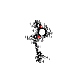 CC[C@H]1OC(=O)[C@H](C)[C@@H](O[C@H]2C[C@@](C)(OC)[C@@H](OC(=O)NCCNCCOc3ccc4c(c3)c(=O)c(C(=O)O)cn4CC)[C@H](C)O2)[C@H](C)[C@@H](O[C@@H]2O[C@H](C)CC(N(C)C)[C@H]2O)[C@](C)(OC)C[C@@H](C)C(=O)[C@H](C)[C@@H](O)[C@]1(C)O